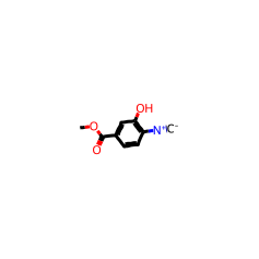 [C-]#[N+]c1ccc(C(=O)OC)cc1O